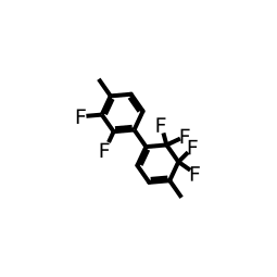 CC1=CC=C(c2ccc(C)c(F)c2F)C(F)(F)C1(F)F